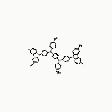 CCCCc1ccc(N(c2ccc(N(c3ccc(CCCC)cc3)c3ccc(-n4c5ccc(C)cc5c5cc(Br)ccc54)cc3)cc2)c2ccc(-n3c4ccc(C)cc4c4cc(Br)ccc43)cc2)cc1